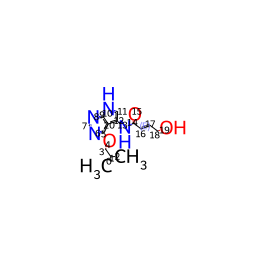 CC(C)COc1ncnc2[nH]cc(NC(=O)/C=C/CO)c12